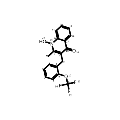 Cc1c(Cc2ccccc2OC(F)(F)F)c(=O)c2ccccc2n1O